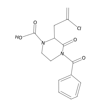 C=C(Cl)CC1C(=O)N(C(=O)c2ccccc2)CCN1C(=O)O